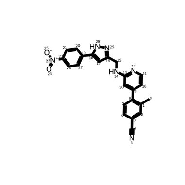 Cc1cc(C#N)ccc1-c1ccnc(NCc2cc(-c3ccc([N+](=O)[O-])cc3)[nH]n2)c1